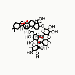 C[C@@H]1O[C@@H](O[C@H]2[C@@H](O)[C@@H](C)O[C@@H](O[C@H]3[C@H](O)[C@@H](O)[C@H](O[C@H]4CC[C@@]5(C)[C@@H](CC[C@]6(C)[C@@H]5C=C[C@]57OC[C@@]8(CCC(C)(C)C[C@H]85)CC[C@]76C)[C@]4(C)CO)O[C@@H]3CO)[C@@H]2O[C@@H]2O[C@H](CO)[C@@H](O)[C@H](O)[C@H]2O)[C@H](O)[C@H](O)[C@H]1O